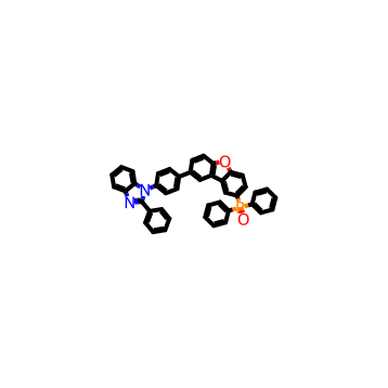 O=P(c1ccccc1)(c1ccccc1)c1ccc2oc3ccc(-c4ccc(-n5c(-c6ccccc6)nc6ccccc65)cc4)cc3c2c1